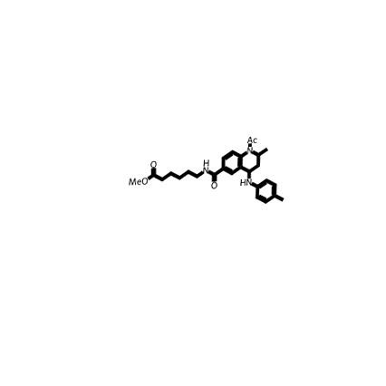 COC(=O)CCCCCNC(=O)c1ccc2c(c1)C(Nc1ccc(C)cc1)CC(C)N2C(C)=O